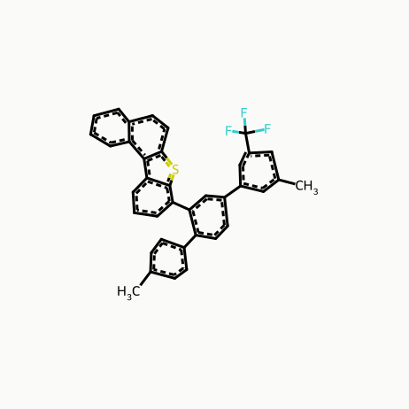 Cc1ccc(-c2ccc(-c3cc(C)cc(C(F)(F)F)c3)cc2-c2cccc3c2sc2ccc4ccccc4c23)cc1